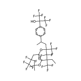 CCC(C(=O)OC(C)(C)C)(C(F)(F)F)C(F)(F)C(CC(C)c1ccc(C(O)(C(F)(F)F)C(F)(F)F)cc1)(OC(=O)CC(F)(F)C(F)(F)F)C(F)(F)F